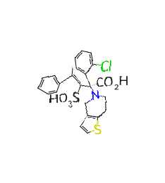 CC(=C([C@@](C(=O)O)(c1ccccc1Cl)N1CCc2sccc2C1)S(=O)(=O)O)c1ccccc1